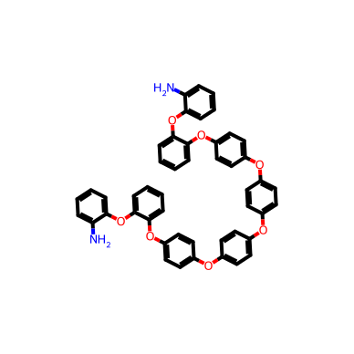 Nc1ccccc1Oc1ccccc1Oc1ccc(Oc2ccc(Oc3ccc(Oc4ccc(Oc5ccccc5Oc5ccccc5N)cc4)cc3)cc2)cc1